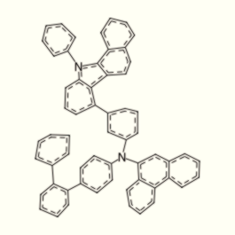 c1ccc(-c2ccccc2-c2ccc(N(c3cccc(-c4cccc5c4c4ccc6ccccc6c4n5-c4ccccc4)c3)c3cc4ccccc4c4ccccc34)cc2)cc1